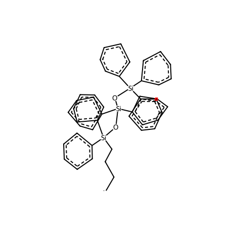 [CH2]CCC[Si](O[Si](O[Si](c1ccccc1)(c1ccccc1)c1ccccc1)(c1ccccc1)c1ccccc1)(c1ccccc1)c1ccccc1